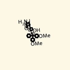 COc1ccc(C(OC[C@H]2O[C@@H](n3cc(I)c(N)nc3=O)C[C@@H]2O)(c2ccccc2)c2ccc(OC)cc2)cc1